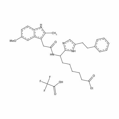 CCC(=O)CCCCCC(NC(=O)Cc1c(C)[nH]c2ccc(OC)cc12)c1ncc(CCc2ccccc2)[nH]1.O=C(O)C(F)(F)F